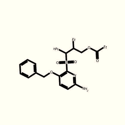 CCCC(C(CC)COC(=O)CC)S(=O)(=O)c1nc(N)ccc1OCc1ccccc1